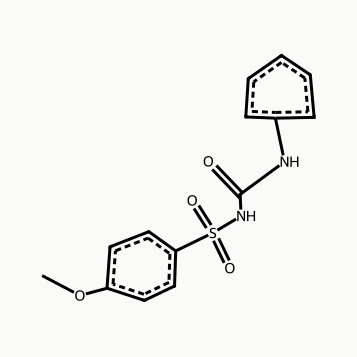 COc1ccc(S(=O)(=O)NC(=O)Nc2ccccc2)cc1